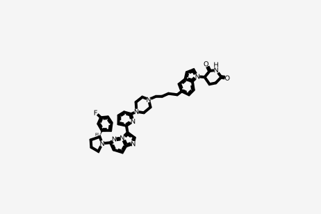 O=C1CCC(n2ccc3cc(CCCCN4CCN(c5cccc(-c6cnc7ccc(N8CCC[C@@H]8c8cccc(F)c8)nn67)n5)CC4)ccc32)C(=O)N1